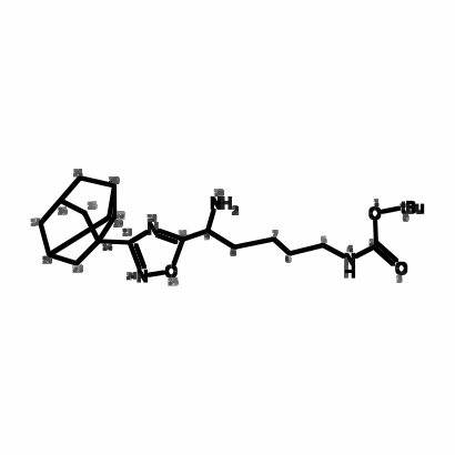 CC(C)(C)OC(=O)NCCCCC(N)c1nc(C23CC4CC(CC(C4)C2)C3)no1